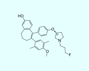 COc1cc(C)c(C2=C(c3ccc(O[C@H]4CCN(CCCF)C4)cc3)c3ccc(O)cc3CCC2)cc1C